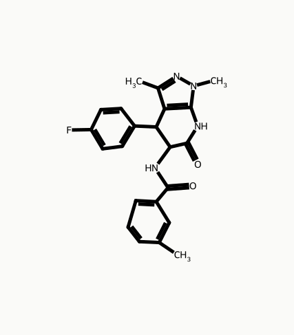 Cc1cccc(C(=O)NC2C(=O)Nc3c(c(C)nn3C)C2c2ccc(F)cc2)c1